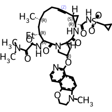 CC[C@@H]1C[C@H](C)CC/C=C\[C@@H]2C[C@@]2(C(=O)NS(=O)(=O)C2CC2)NC(=O)[C@@H]2C[C@@H](Oc3nccc4c5c(ccc34)N(C)CCO5)CN2C(=O)[C@H]1NC(=O)C(=O)N(C)C